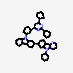 c1ccc(-c2cc(-c3cccc(-n4c5ccccc5c5ccc(-c6ccc7c8ncccc8n(-c8ccccc8)c7c6)cc54)c3)nc(-c3ccccc3)n2)cc1